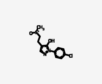 C[S+]([O-])CCc1cnn(-c2ccc(Cl)cc2)c1O